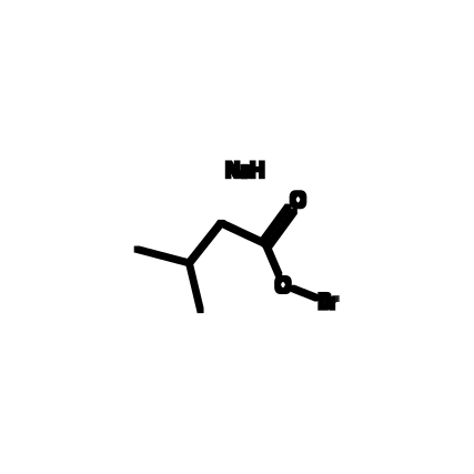 CC(C)CC(=O)OBr.[NaH]